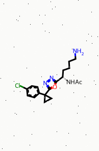 CC(=O)N[C@@H](CCCCN)c1nnc(C2(c3ccc(Cl)cc3)CC2)o1